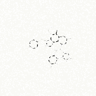 CCn1c(=O)c2cc(C)cc(C(C)Nc3ccc(Cl)nc3-c3ncn(C)n3)c2c2cnn(Cc3ccc(OC)cc3)c21